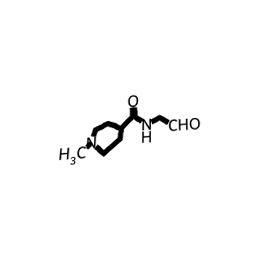 CN1CCC(C(=O)NCC=O)CC1